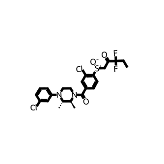 CCC(F)(F)C(=O)C[S+]([O-])c1ccc(C(=O)N2CCN(c3cccc(Cl)c3)[C@@H](C)[C@@H]2C)cc1Cl